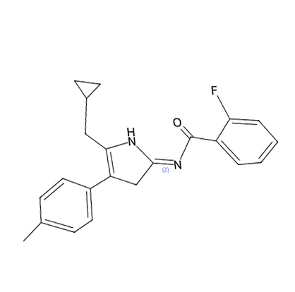 Cc1ccc(C2=C(CC3CC3)N/C(=N\C(=O)c3ccccc3F)C2)cc1